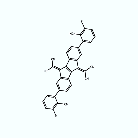 N#CC(C#N)=C1C2=C(C(=C(C#N)C#N)c3cc(-c4cccc(F)c4C#N)ccc32)c2ccc(-c3cccc(F)c3C#N)cc21